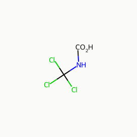 O=C(O)NC(Cl)(Cl)Cl